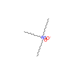 CCCCCCCCCCCC[N+](CCCCCCCCCCCC)(CCCCCCCCCCCC)CC(=O)[O-]